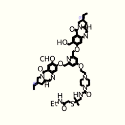 C/C=C1\C[C@H]2C=Nc3cc(OCc4cc(OCCN5CCN(C(=O)NCC(C)(C)SCC(=O)NCC)CC5)cc(COc5cc6c(cc5CO)C(=O)N5C/C(=C/C)C[C@H]5C=N6)n4)c(C=O)cc3C(=O)N2C1